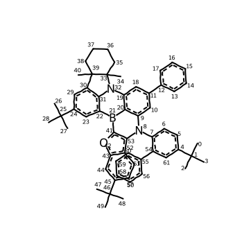 CC(C)(C)c1ccc(N2c3cc(-c4ccccc4)cc4c3B(c3cc(C(C)(C)C)cc5c3N4C3(C)CCCCC53C)c3oc4cc(C(C)(C)C)ccc4c32)c(-c2ccccc2)c1